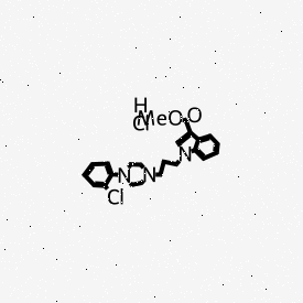 COC(=O)c1cn(CCCN2CCN(c3ccccc3Cl)CC2)c2ccccc12.Cl